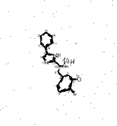 O=C(O)N[C@@H](Cc1ccc(I)c(Cl)c1)c1ncc(-c2ccccc2)[nH]1